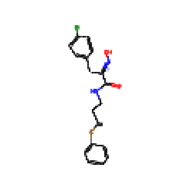 O=C(NCC[Se]Sc1ccccc1)/C(Cc1ccc(Br)cc1)=N/O